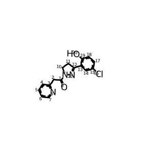 O=C(Cc1ccccn1)N1CCC(c2cc(Cl)ccc2O)=N1